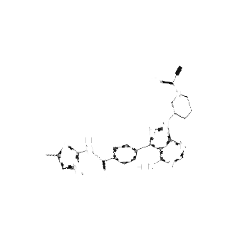 C#CC(=O)N1CCCC(n2nc(-c3ccc(C(=O)Nc4ncc(C)s4)cc3)c3c(N)ncnc32)C1